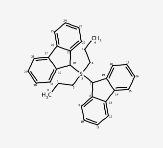 CCC[Si](CCC)(C1c2ccccc2-c2ccccc21)C1c2ccccc2-c2ccccc21